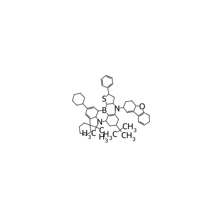 CC(C)(C)C1CC2=C3B(C4C=C(C5CCCCC5)C=C5C4N(C3C1)C(C)(C)C51CCCCC1)C1SC(c3ccccc3)CC1N2C1C=C2C3=C(CCC=C3)OC2CC1